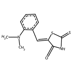 CN(C)c1ccccc1/C=C1\SC(=S)NC1=O